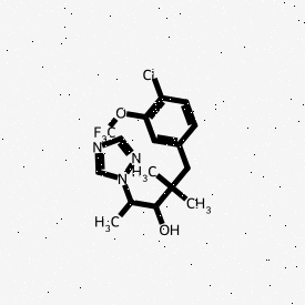 CC(C(O)C(C)(C)Cc1ccc(Cl)c(OC(F)(F)F)c1)n1cncn1